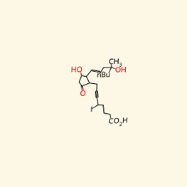 CCCCC(C)(O)C/C=C/C1C(O)CC(=O)C1CC#CC(I)CCCC(=O)O